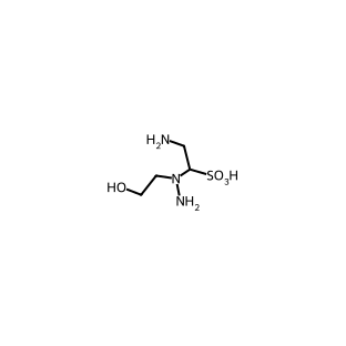 NCC(N(N)CCO)S(=O)(=O)O